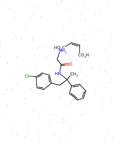 CC(Cc1ccc(Cl)cc1)(NC(=O)CN)c1ccccc1.O=C(O)/C=C\C(=O)O